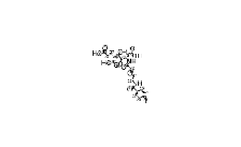 CN(C(=O)[C@H](CC(=O)O)NC(=O)COCCNC(=O)c1ccc(F)cc1)[C@@H](CCC(=O)O)C(=O)O